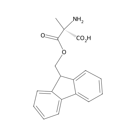 C[C@](N)(C(=O)O)C(=O)OCC1c2ccccc2-c2ccccc21